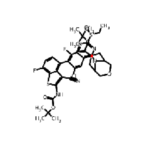 CC[S+]([O-])c1nc(N2C3COCC2CN(C(=O)OC(C)(C)C)C3)c2cc(Cl)c(-c3ccc(F)c4sc(NC(=O)OC(C)(C)C)c(C#N)c34)c(F)c2n1